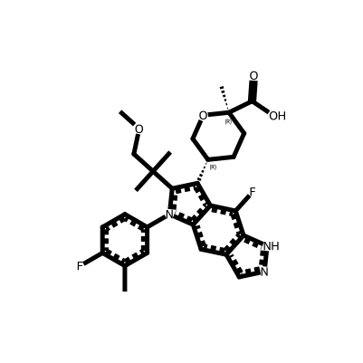 COCC(C)(C)c1c([C@H]2CC[C@](C)(C(=O)O)OC2)c2c(F)c3[nH]ncc3cc2n1-c1ccc(F)c(C)c1